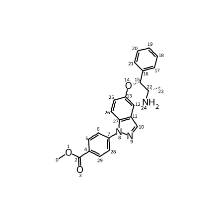 COC(=O)c1ccc(-n2ncc3cc(O[C@H](c4ccccc4)[C@H](C)N)ccc32)cc1